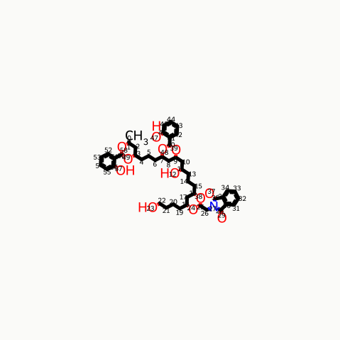 CC1CC(CCCC2CC(CC(O)CCCC3CC(CCCCO)OC(CN4C(=O)c5ccccc5C4=O)O3)OC(c3ccccc3O)O2)OC(c2ccccc2O)O1